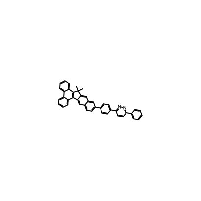 CC1(C)c2cc3cc(-c4ccc(-c5ccc(-c6ccccc6)nn5)cc4)ccc3cc2-c2c1c1ccccc1c1ccccc21